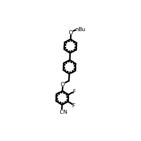 CCCCOc1ccc(-c2ccc(COc3ccc(C#N)c(F)c3F)cc2)cc1